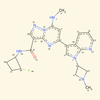 CNc1cc(-c2cn(C3CN(C)C3)c3ncccc23)nc2c(C(=O)NC3CC[C@H]3F)cnn12